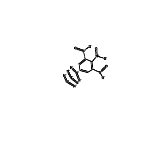 O=[N+]([O-])c1cccc([N+](=O)[O-])c1[N+](=O)[O-].[N-]=[N+]=[N-].[N-]=[N+]=[N-].[N-]=[N+]=[N-]